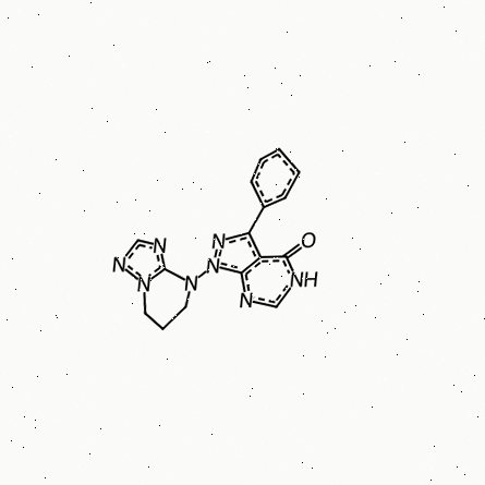 O=c1[nH]cnc2c1c(-c1ccccc1)nn2N1CCCn2ncnc21